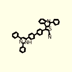 N#Cc1sc2c(-c3ccccc3)nc3ccccc3c2c1-c1ccc(-c2ccc(C3=CC(c4ccccc4)=NC(c4ccccc4)N3)cc2)cc1